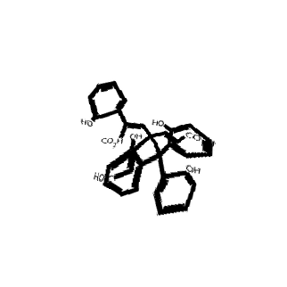 O=C(O)C=CC(C=CC(=O)O)(C=C(C(=O)O)c1ccccc1O)C(c1ccccc1O)(c1ccccc1O)c1ccccc1O